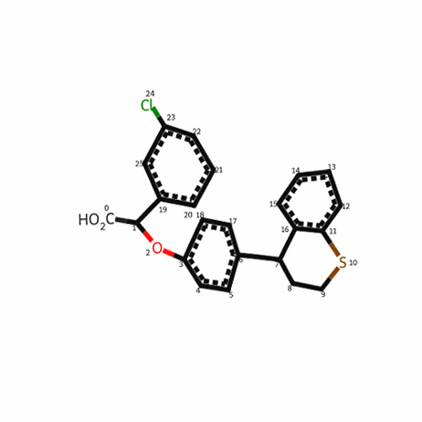 O=C(O)C(Oc1ccc(C2CCSc3ccccc32)cc1)c1cccc(Cl)c1